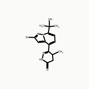 CCc1cc2c(C3=NNC(=O)CC3C)ccc(C(C)(C)O)n2n1